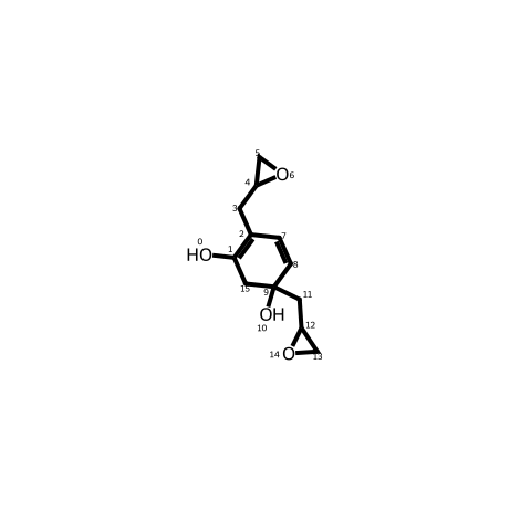 OC1=C(CC2CO2)C=CC(O)(CC2CO2)C1